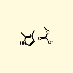 COC(=O)[O-].Cc1[nH]cc[n+]1C